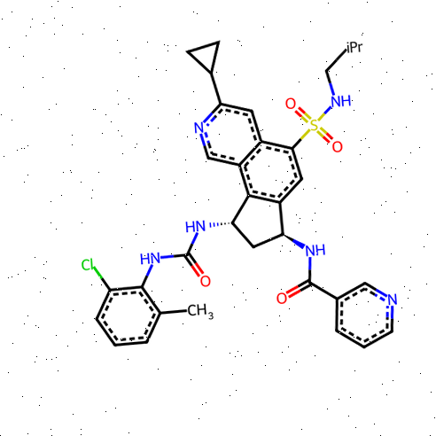 Cc1cccc(Cl)c1NC(=O)N[C@H]1C[C@H](NC(=O)c2cccnc2)c2cc(S(=O)(=O)NCC(C)C)c3cc(C4CC4)ncc3c21